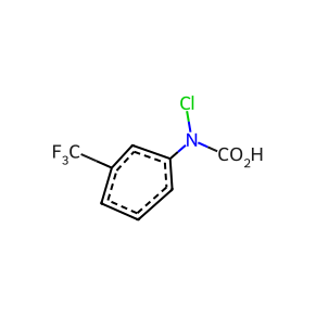 O=C(O)N(Cl)c1cccc(C(F)(F)F)c1